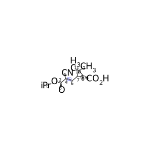 CC(C)OC(=O)/C(C#N)=C/C1[C@@H](C(=O)O)C1(C)C